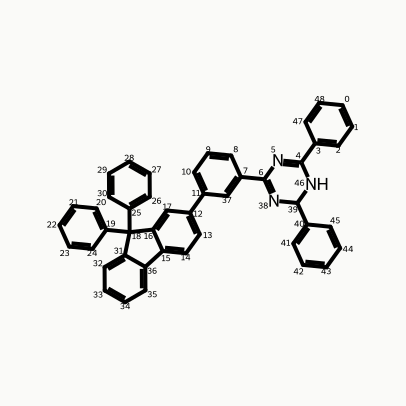 c1ccc(C2=NC(c3cccc(-c4ccc5c(c4)C(c4ccccc4)(c4ccccc4)c4ccccc4-5)c3)=NC(c3ccccc3)N2)cc1